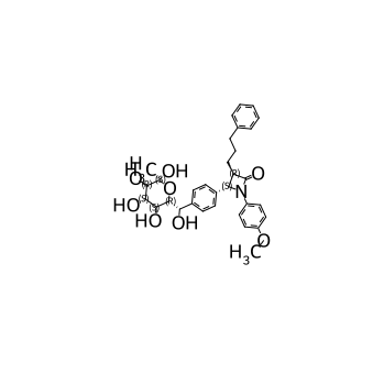 COc1ccc(N2C(=O)[C@H](CCCc3ccccc3)[C@H]2c2ccc(C(O)[C@H]3O[C@](C)(O)[C@H](O)[C@@H](O)[C@@H]3O)cc2)cc1